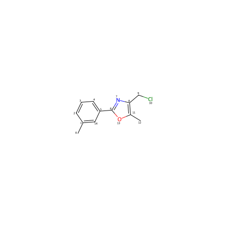 Cc1cccc(-c2nc(CCl)c(C)o2)c1